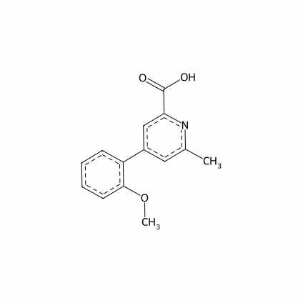 COc1ccccc1-c1cc(C)nc(C(=O)O)c1